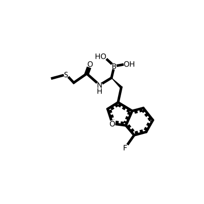 CSCC(=O)N[C@H](Cc1coc2c(F)cccc12)B(O)O